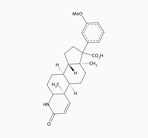 COc1cccc(C2(C(=O)O)CC[C@H]3[C@@H]4CCC5NC(=O)C=C[C@]5(C)[C@@H]4CC[C@@]32C)c1